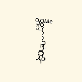 COC(=O)C1(C)OCC(CCCCON=C(C)c2ccc3c(C)c(C)oc3c2)CO1